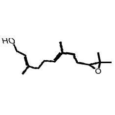 CC(=CCO)CCC=C(C)CCC1OC1(C)C